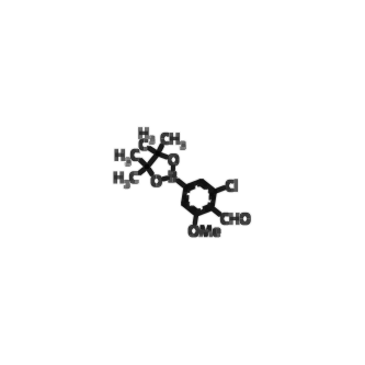 COc1cc(B2OC(C)(C)C(C)(C)O2)cc(Cl)c1C=O